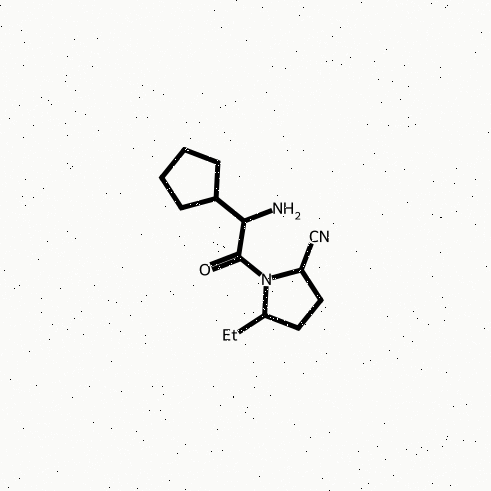 CCC1CCC(C#N)N1C(=O)C(N)C1CCCC1